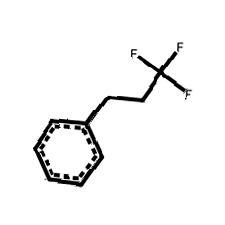 FC(F)(F)CCc1cc[c]cc1